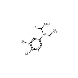 CC(C(=O)O)N(CC(F)(F)F)c1ccc(C#N)c(C#N)c1